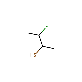 CC(F)C(C)S